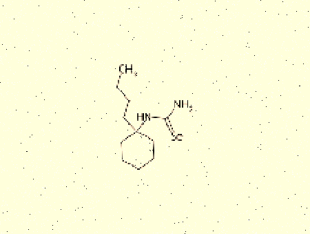 CCCCC1(NC(N)=[Se])CCCCC1